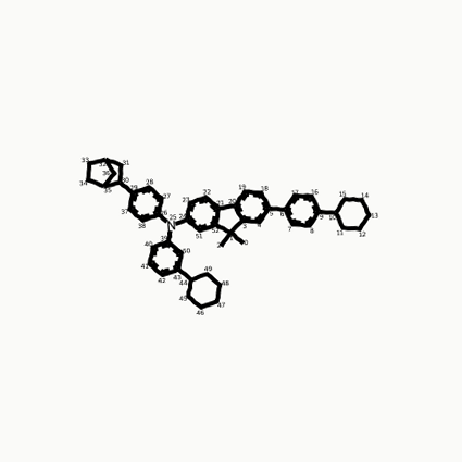 CC1(C)c2cc(-c3ccc(C4CCCCC4)cc3)ccc2-c2ccc(N(c3ccc(C4CC5CCC4C5)cc3)c3cccc(C4CCCCC4)c3)cc21